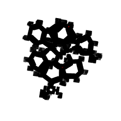 Cc1ccc(C([P+](c2ccccc2)(c2ccccc2)c2ccccc2)[P+](c2ccccc2)(c2ccccc2)c2ccccc2)cc1.[Br-].[Br-]